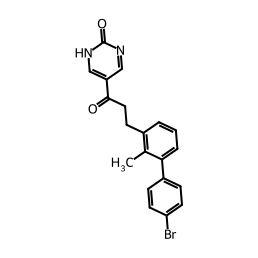 Cc1c(CCC(=O)c2cnc(=O)[nH]c2)cccc1-c1ccc(Br)cc1